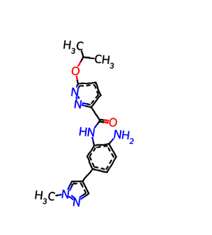 CC(C)Oc1ccc(C(=O)Nc2cc(-c3cnn(C)c3)ccc2N)nn1